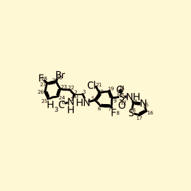 CN[C@H](CNc1cc(F)c(S(=O)(=O)Nc2nccs2)cc1Cl)Cc1cccc(F)c1Br